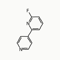 Fc1cccc(-c2ccncc2)n1